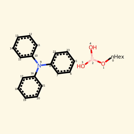 CCCCCCOB(O)O.c1ccc(N(c2ccccc2)c2ccccc2)cc1